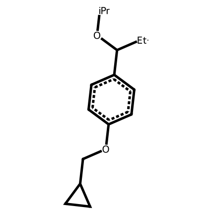 C[CH]C(OC(C)C)c1ccc(OCC2CC2)cc1